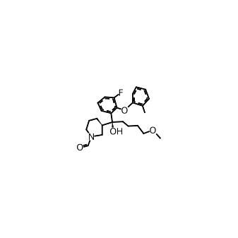 COCCCC[C@@](O)(c1cccc(F)c1Oc1ccccc1C)[C@@H]1CCCN(C=O)C1